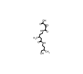 CC(CO)CCNC(=O)CC(C)CCNC(=O)C1OC1C(=O)O